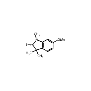 COc1ccc2c(c1)N(C)C(=S)C2(C)C